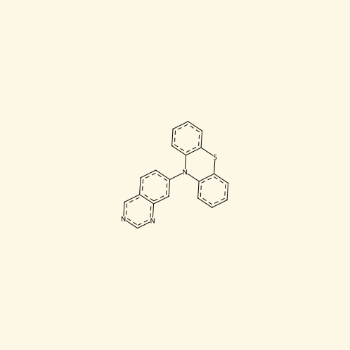 c1ccc2c(c1)Sc1ccccc1N2c1ccc2cncnc2c1